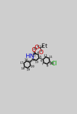 CCC(=O)Oc1c(-c2ccc(Cl)cc2)cc(-c2ccccc2)[nH]c1=O